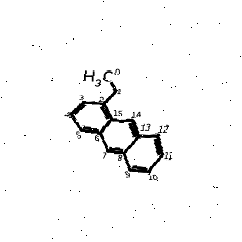 CCc1c[c]cc2cc3ccccc3cc12